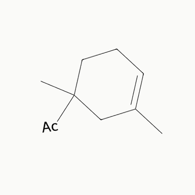 CC(=O)C1(C)CCC=C(C)C1